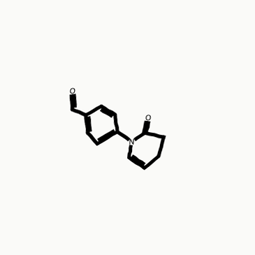 O=Cc1ccc(N2C=CCCC2=O)cc1